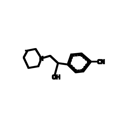 N#Cc1ccc(C(O)CN2C[CH]CCC2)cc1